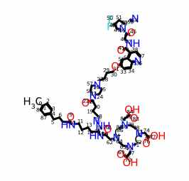 Cc1ccc(CCCC(=O)NCCCCC(N/N=C/CCC(=O)N2CCN(CCCCOc3ccc4nccc(C(=O)NCC(=O)N5CC(F)(F)C[C@@H]5C#N)c4c3)CC2)NC(=O)CN2CCN(CC(=O)O)CCN(CC(=O)O)CCN(CC(=O)O)CC2)cc1